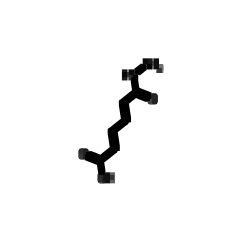 NNC(=O)C=CC=CC(=O)O